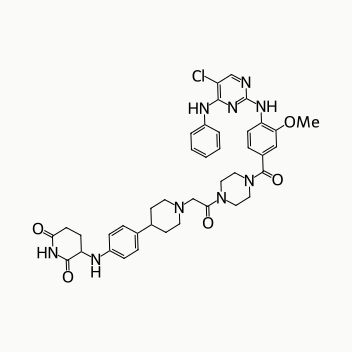 COc1cc(C(=O)N2CCN(C(=O)CN3CCC(c4ccc(NC5CCC(=O)NC5=O)cc4)CC3)CC2)ccc1Nc1ncc(Cl)c(Nc2ccccc2)n1